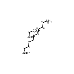 CCCCCCCCCCCC(=O)O.CCCCCCCCCCCCCCCCCCCN